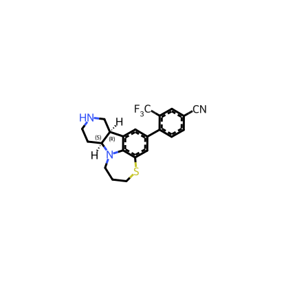 N#Cc1ccc(-c2cc3c4c(c2)[C@@H]2CNCC[C@@H]2N4CCCS3)c(C(F)(F)F)c1